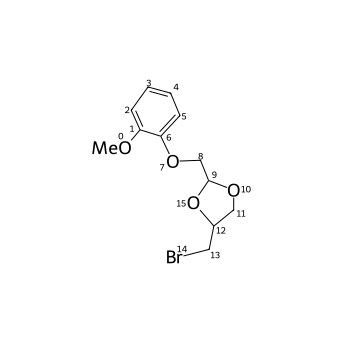 COc1ccccc1OCC1OCC(CBr)O1